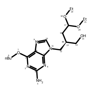 CCCCOc1nc(N)nc2c1ncn2C[C@H](CO)CC(OCC)OCC